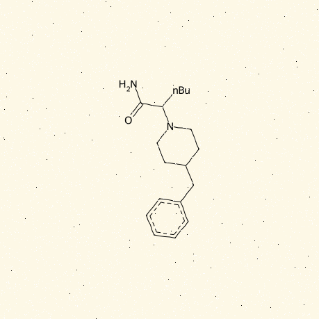 CCCCC(C(N)=O)N1CCC(Cc2ccccc2)CC1